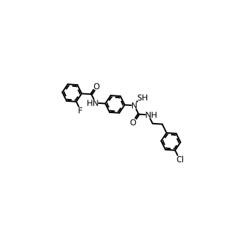 O=C(Nc1ccc(N(S)C(=O)NCCc2ccc(Cl)cc2)cc1)c1ccccc1F